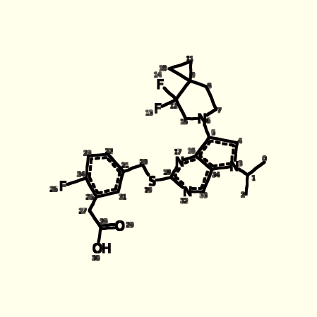 CC(C)n1cc(N2CCC3(CC3)C(F)(F)C2)c2nc(SCc3ccc(F)c(CC(=O)O)c3)ncc21